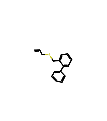 C=CCSCc1ccccc1-c1ccccc1